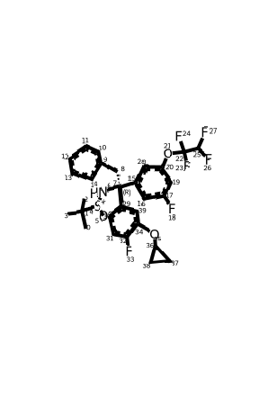 CC(C)(C)[S+]([O-])N[C@@](Cc1ccccc1)(c1cc(F)cc(OC(F)(F)C(F)F)c1)c1ccc(F)c(OC2CC2)c1